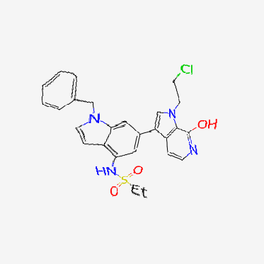 CCS(=O)(=O)Nc1cc(-c2cn(CCCl)c3c(O)nccc23)cc2c1ccn2Cc1ccccc1